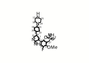 COc1c(F)cc(-c2cc(-c3ccc(N4CCNCC4)cc3)cnc2N)cc1CS(N)(=O)=O